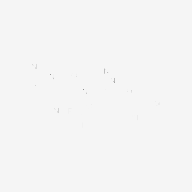 C[Si](C)(C)CCOCn1ncc(NC(=O)c2cncc3sc(N)nc23)c1-c1cc(Cl)ccc1OC(F)F